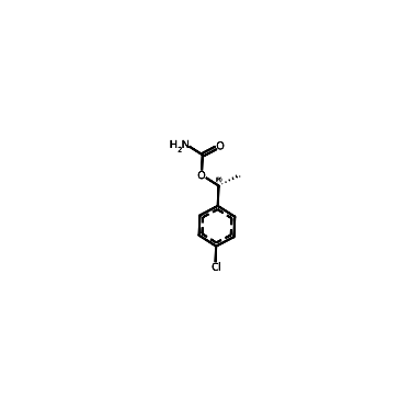 [CH2][C@@H](OC(N)=O)c1ccc(Cl)cc1